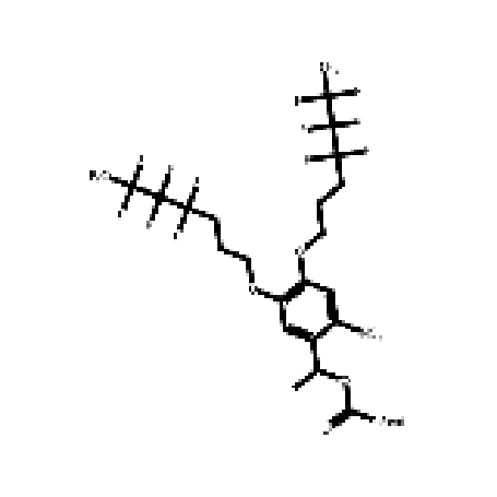 CCCCCC(=O)OC(C)c1cc(OCCCC(F)(F)C(F)(F)C(F)(F)C(F)(F)F)c(OCCCC(F)(F)C(F)(F)C(F)(F)C(F)(F)F)cc1[N+](=O)[O-]